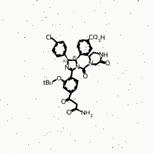 CC(C)(C)Oc1cc(C(=O)CC(N)=O)ccc1C1=N[C@@H](c2ccc(Cl)cc2)[C@@H](c2ccc(C(=O)O)cc2)N1C(=O)N1CCNC(=O)C1